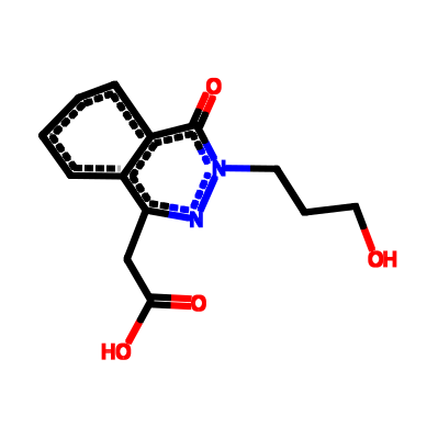 O=C(O)Cc1nn(CCCO)c(=O)c2ccccc12